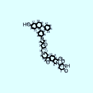 O=C1CC[C@H](N2Cc3c(ccc4c3OCC43CCN(C[C@@H]4COC5(C4)CN(c4ccc([C@@H]6c7ccc(O)cc7CC[C@@H]6c6ccccc6)cc4)C5)CC3)C2=O)C(=O)N1